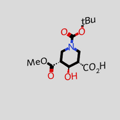 COC(=O)[C@@H]1CN(C(=O)OC(C)(C)C)C[C@H](C(=O)O)[C@H]1O